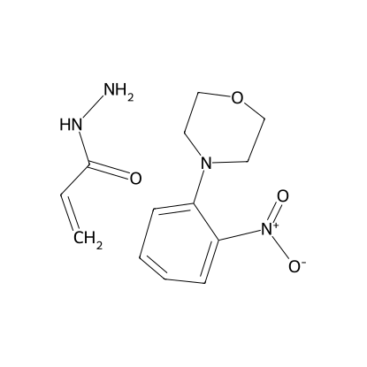 C=CC(=O)NN.O=[N+]([O-])c1ccccc1N1CCOCC1